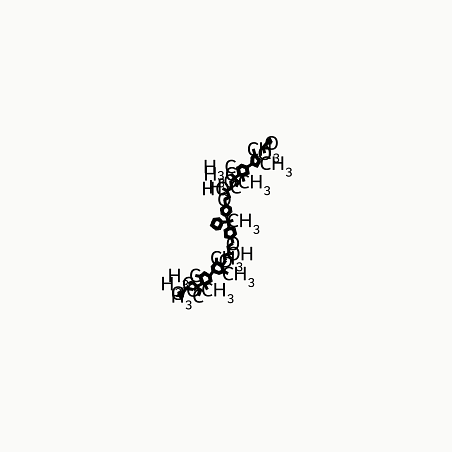 CCC(C)(OCC(O)COc1ccc(C(C)(c2ccccc2)c2ccc(OCC(O)COc3c(C)cc(-c4cc(C)c(C(CC)(CC)OCC5CO5)c(C)c4)cc3C)cc2)cc1)c1c(C)cc(-c2cc(C)c(OCC3CO3)c(C)c2)cc1C